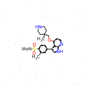 CNS(=O)(=O)c1ccc(-c2c[nH]c3nccc(OCC4(C)CCNCC4)c23)cc1C